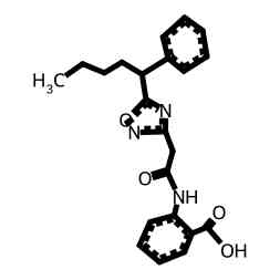 CCCCC(c1ccccc1)c1nc(CC(=O)Nc2ccccc2C(=O)O)no1